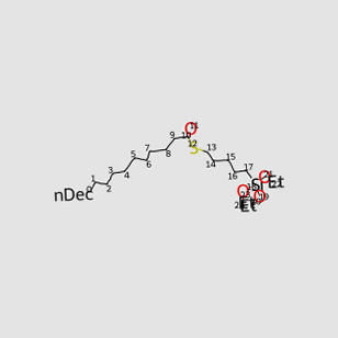 CCCCCCCCCCCCCCCCCCCC(=O)SCCCCC[Si](OCC)(OCC)OCC